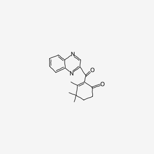 CC1=C(C(=O)c2cnc3ccccc3n2)C(=O)CCC1(C)C